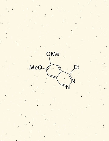 CCc1nncc2cc(OC)c(OC)cc12